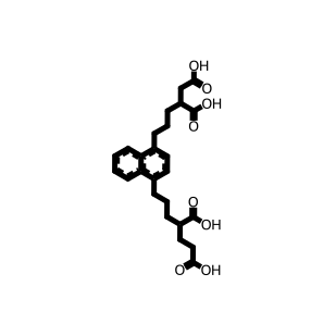 O=C(O)CCC(CCCc1ccc(CCCC(CC(=O)O)C(=O)O)c2ccccc12)C(=O)O